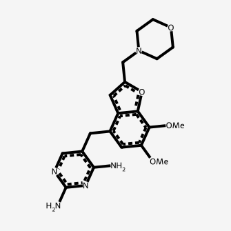 COc1cc(Cc2cnc(N)nc2N)c2cc(CN3CCOCC3)oc2c1OC